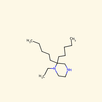 CCCCCC1(CCCCC)CNCCN1CC